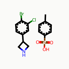 Cc1ccc(S(=O)(=O)O)cc1.Clc1cc(C2CNC2)ccc1Br